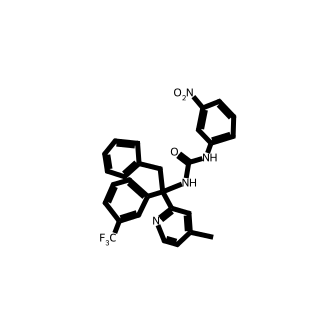 Cc1ccnc(C(Cc2ccccc2)(NC(=O)Nc2cccc([N+](=O)[O-])c2)c2cccc(C(F)(F)F)c2)c1